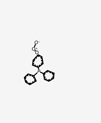 O=[O+][O-].c1ccc(P(c2ccccc2)c2ccccc2)cc1